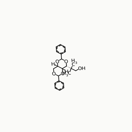 CC(C)(CO)[C@H]1OC(c2ccccc2)O[C@H]2COC(c3ccccc3)O[C@H]21